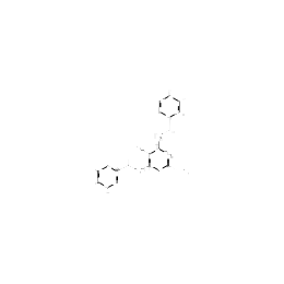 N#Cc1cc(NCc2ccccc2)c([N+](=O)[O-])c(NCc2ccccc2)n1